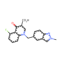 Cn1cc2cc(Cn3cc(C(=O)O)c(=O)c4c(F)cccc43)ccc2n1